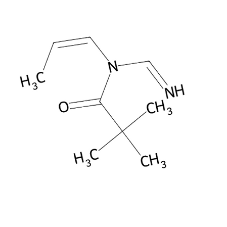 C/C=C\N(C=N)C(=O)C(C)(C)C